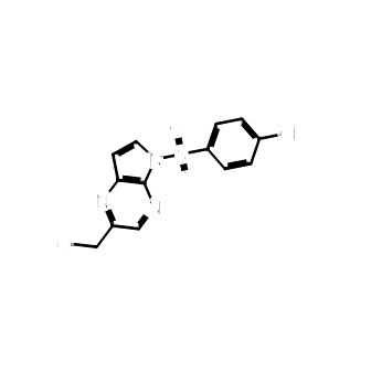 Cc1ccc(S(=O)(=O)n2ccc3nc(CCl)cnc32)cc1